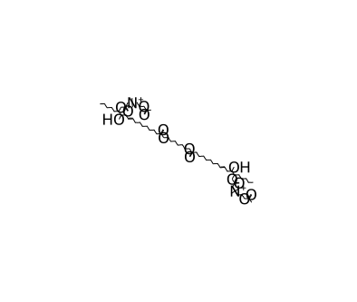 CCCCCC(OC(=O)C[N+](C)(C)CCOC(C)=O)C(O)CC=CCCCCCCCC(=O)OCCCCCCOC(=O)CCCCCCCC=CCC(O)C(CCCCC)OC(=O)C[N+](C)(C)CCOC(C)=O